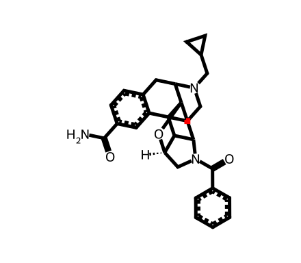 NC(=O)c1ccc2c(c1)C13CCN(CC4CC4)C(C2)C12CCC1C3[C@@H](CN1C(=O)c1ccccc1)O2